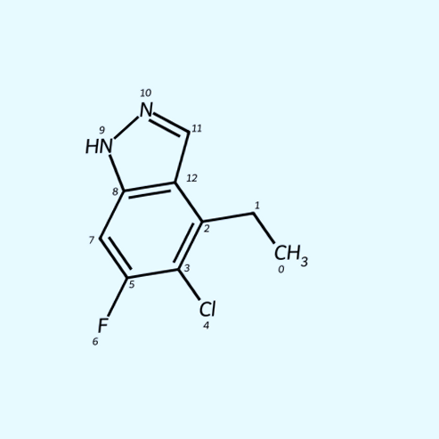 CCc1c(Cl)c(F)cc2[nH]ncc12